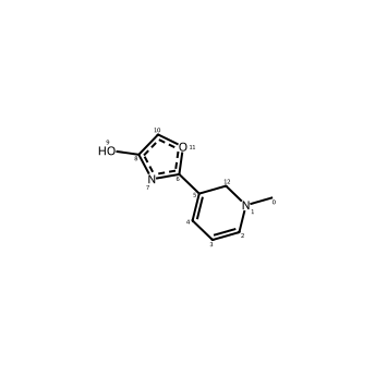 CN1C=CC=C(c2nc(O)co2)C1